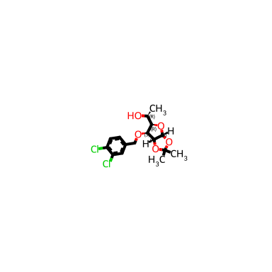 C[C@@H](O)[C@H]1O[C@@H]2OC(C)(C)O[C@@H]2[C@H]1OCc1ccc(Cl)c(Cl)c1